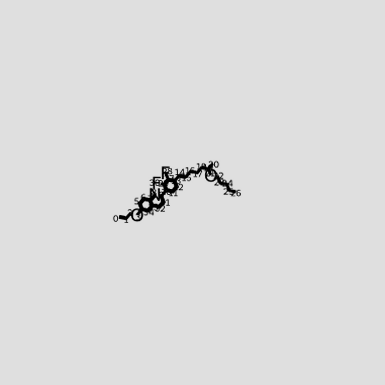 C=CCOc1ccc2nc(-c3ccc(/C=C/CCCC(C)OCCCCC)c(F)c3F)ccc2c1